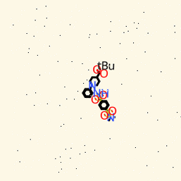 CN(C)S(=O)(=O)c1ccc(S(=O)(=O)Nc2ccccc2N2CCC(C(=O)OC(C)(C)C)CC2)cc1